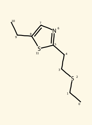 CCSCCc1ncc(CC)s1